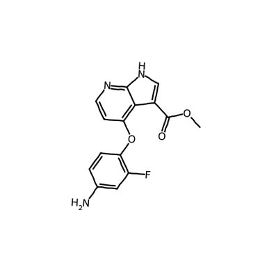 COC(=O)c1c[nH]c2nccc(Oc3ccc(N)cc3F)c12